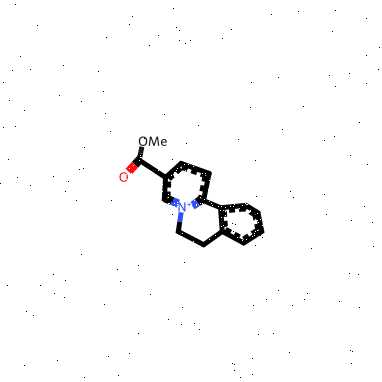 COC(=O)c1ccc2[n+](c1)CCc1ccccc1-2